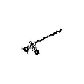 CCCCCCCCCCCCCCCCCCOC(=O)[C@H](Cc1cc(F)cc(F)c1)NP(=O)(Cl)Oc1ccccc1